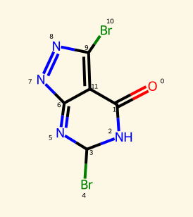 O=C1NC(Br)N=C2N=NC(Br)=C12